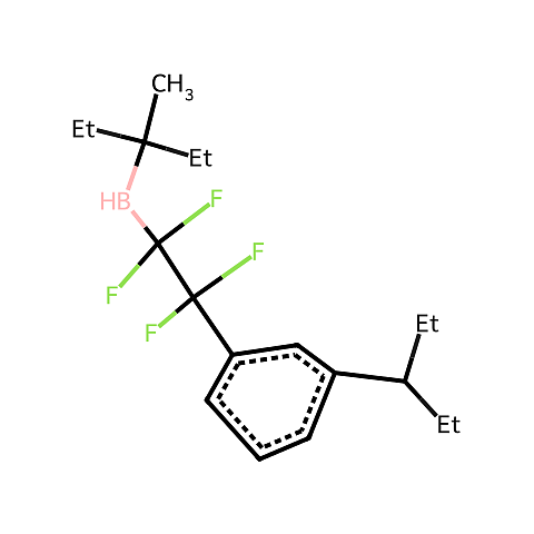 CCC(CC)c1cccc(C(F)(F)C(F)(F)BC(C)(CC)CC)c1